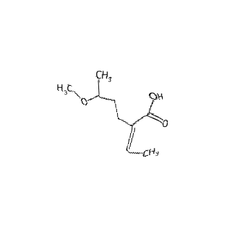 CC=C(CCC(C)OC)C(=O)O